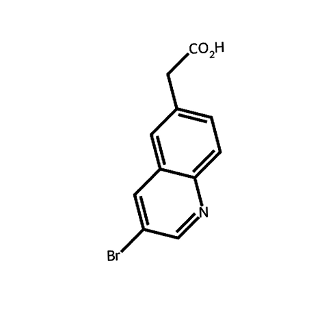 O=C(O)Cc1ccc2ncc(Br)cc2c1